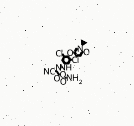 N#CC(=NNc1cc(Cl)c(Oc2ccc(=O)n(C3CC3)c2)c(Cl)c1)C(=O)OC(N)=O